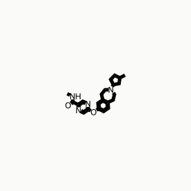 CNC(=O)c1cnc(Oc2ccc3c(c2)CCN(C2CCC(C)C2)CC3)cn1